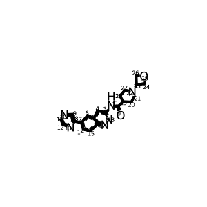 O=C(Nc1cc2cc(-c3cnccn3)ccc2nn1)C1CCN(C2COC2)CC1